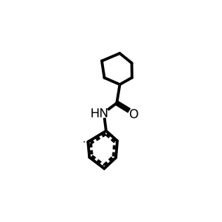 O=C(Nc1[c]cccc1)C1CCCCC1